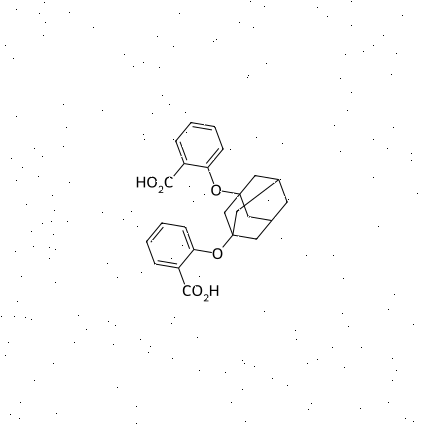 O=C(O)c1ccccc1OC12CC3CC(C1)CC(Oc1ccccc1C(=O)O)(C3)C2